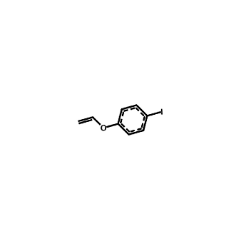 C=COc1ccc(I)cc1